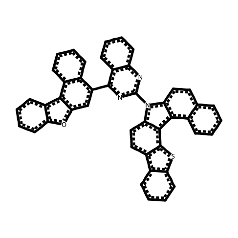 c1ccc2c(c1)ccc1c2c2c3sc4ccccc4c3ccc2n1-c1nc(-c2cc3oc4ccccc4c3c3ccccc23)c2ccccc2n1